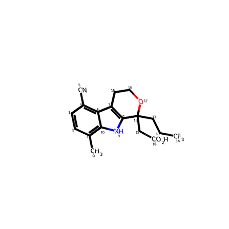 Cc1ccc(C#N)c2c3c([nH]c12)C(CCC(F)(F)F)(CC(=O)O)OCC3